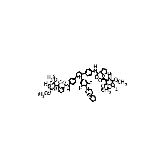 COC(=O)N[C@H](C(=O)N1CCC[C@H]1C(=O)Nc1ccc([C@H]2CC[C@H](c3ccc(NC(=O)[C@@H]4CCCN4C(=O)[C@@H](NC(=O)OC)[C@@H](C)OC)cc3)N2c2cc(F)c(N3CC[Si]4(CCCC4)CC3)c(F)c2)cc1)[C@@H](C)OC